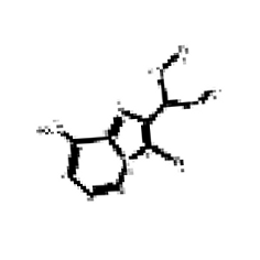 CCOC(OCC)c1nc2c(C(=O)O)cccn2c1CC